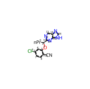 CCCC(Oc1cc(Cl)ccc1C#N)c1ncc2nc[nH]c2n1